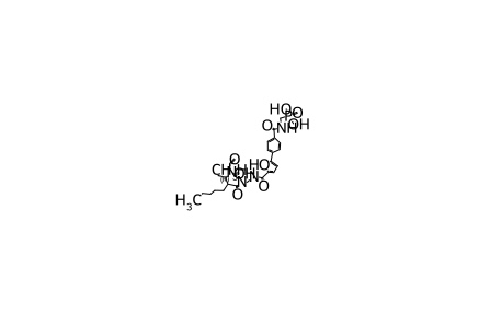 CCCCCC(C(=O)NCNC(=O)c1ccc(-c2ccc(C(=O)NCP(=O)(O)O)cc2)o1)[C@@H](CC)N(O)C=O